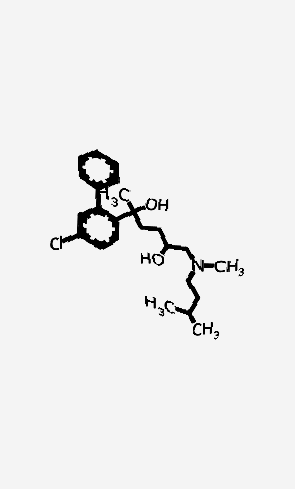 CC(C)CCN(C)CC(O)CCC(C)(O)c1ccc(Cl)cc1-c1ccccc1